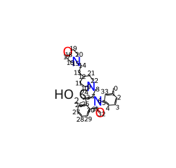 Cc1cccc(-n2c(CN3CCC(CCN4CCOCC4)CC3)c(C(=O)O)c3ccccc3c2=O)c1